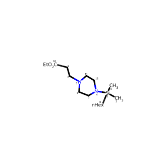 CCCCCC[Si](C)(C)N1CCN(CCC(=O)OCC)CC1